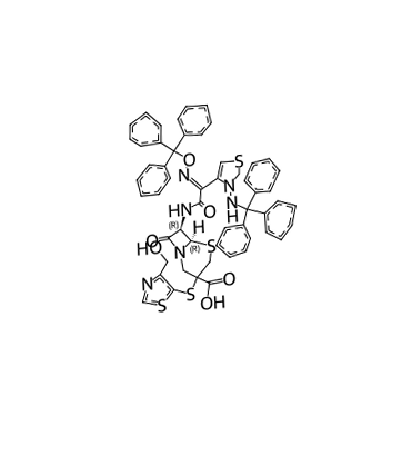 O=C(N[C@@H]1C(=O)N2CC(Sc3scnc3CO)(C(=O)O)CS[C@H]12)C(=NOC(c1ccccc1)(c1ccccc1)c1ccccc1)C1=CSCN1NC(c1ccccc1)(c1ccccc1)c1ccccc1